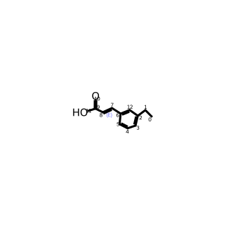 CCc1cccc(/C=C/C(=O)O)c1